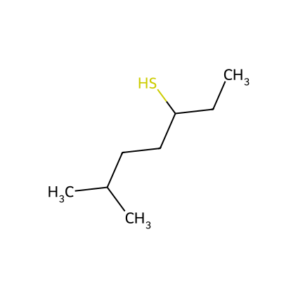 CCC(S)CCC(C)C